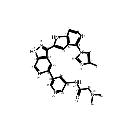 Cc1cn(-c2nccc3[nH]c(-c4n[nH]c5cnc(-c6cncc(NC(=O)CN(C)C)c6)cc45)cc23)cn1